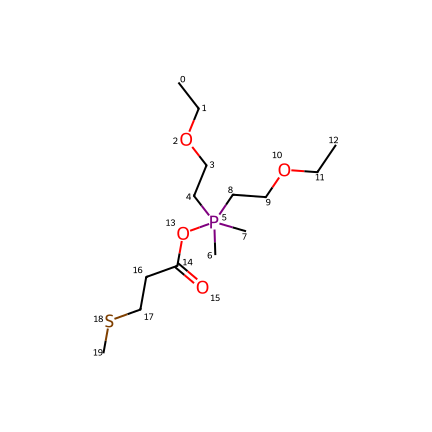 CCOCCP(C)(C)(CCOCC)OC(=O)CCSC